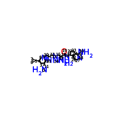 NCc1cc(C2CC2)cn2cc(CN(N)/C=C(\N)C(=O)NC3CCc4c3ccnc4N)nc12